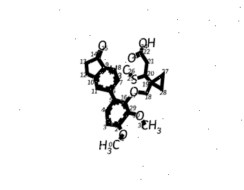 COc1ccc(-c2ccc3c(c2)CCC3=O)c(OCC2(C(CC(=O)O)SC)CC2)c1OC